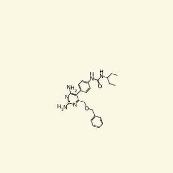 CCC(CC)NC(=O)Nc1ccc(-c2c(N)nc(N)nc2COCc2ccccc2)cc1